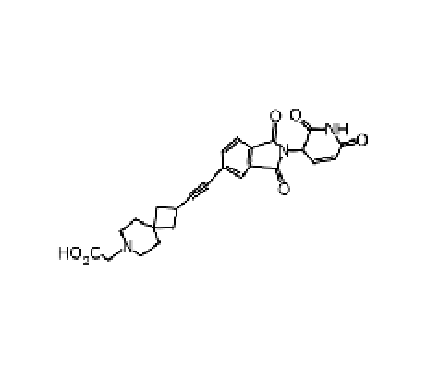 O=C(O)CN1CCC2(CC1)CC(C#Cc1ccc3c(c1)C(=O)N(C1C=CC(=O)NC1=O)C3=O)C2